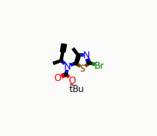 C#CC(C)N(C(=O)OC(C)(C)C)c1sc(Br)nc1C